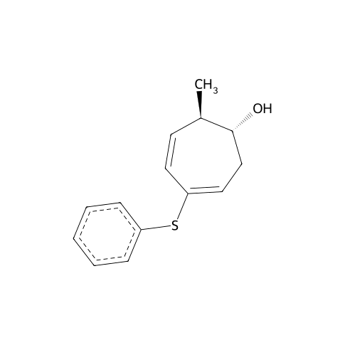 C[C@@H]1C=CC(Sc2ccccc2)=CC[C@H]1O